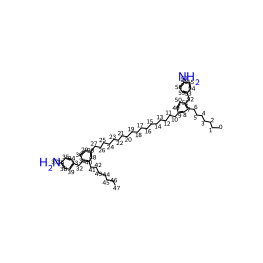 CCCCCCCc1cc(CCCCCCCCCCCCCCCCCCc2ccc(Cc3ccc(N)cc3)c(CCCCCCC)c2)ccc1Cc1ccc(N)cc1